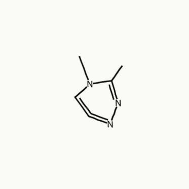 CC1=NN=C=CN1C